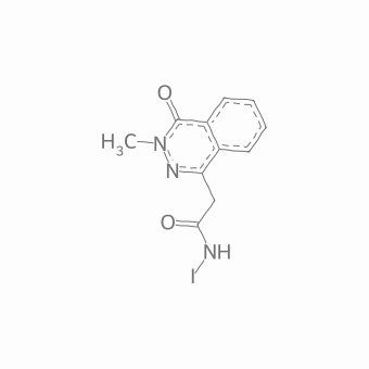 Cn1nc(CC(=O)NI)c2ccccc2c1=O